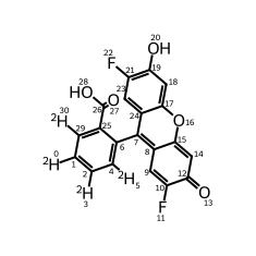 [2H]c1c([2H])c([2H])c(-c2c3cc(F)c(=O)cc-3oc3cc(O)c(F)cc23)c(C(=O)O)c1[2H]